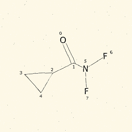 O=C(C1CC1)N(F)F